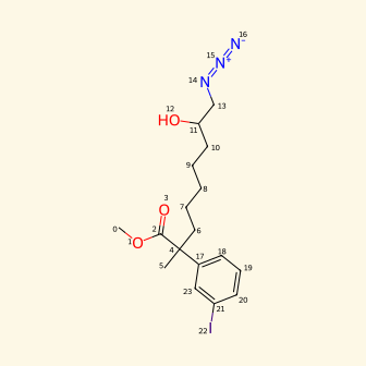 COC(=O)C(C)(CCCCCC(O)CN=[N+]=[N-])c1cccc(I)c1